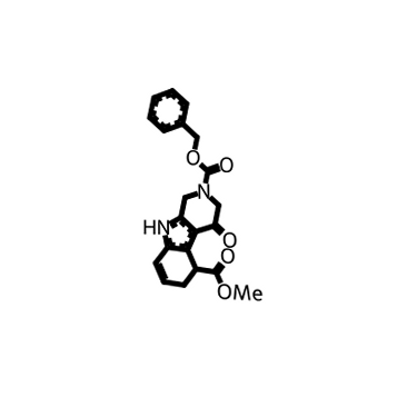 COC(=O)C1CC=Cc2[nH]c3c(c21)C(=O)CN(C(=O)OCc1ccccc1)C3